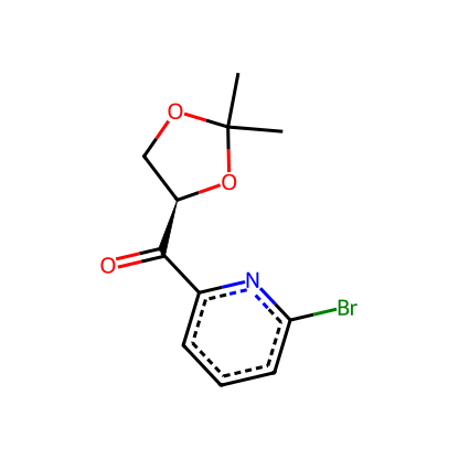 CC1(C)OC[C@H](C(=O)c2cccc(Br)n2)O1